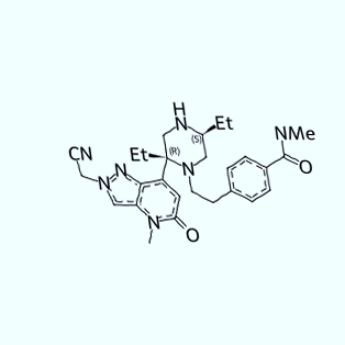 CC[C@H]1CN(CCc2ccc(C(=O)NC)cc2)[C@](CC)(c2cc(=O)n(C)c3cn(CC#N)nc23)CN1